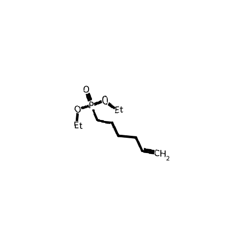 C=CCCCCP(=O)(OCC)OCC